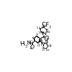 NC(=O)c1ccc(C(=O)N2CCC(C(F)(F)F)CC2)c(N2CCCC2)c1